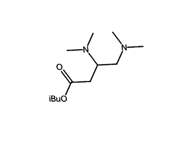 CC(C)COC(=O)CC(CN(C)C)N(C)C